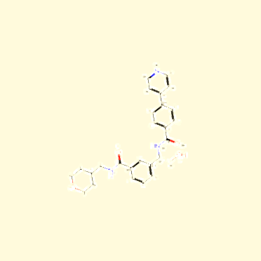 O=C(NCC1CCOCC1)c1cccc([C@@H](CO)NC(=O)c2ccc(-c3ccncc3)cc2)c1